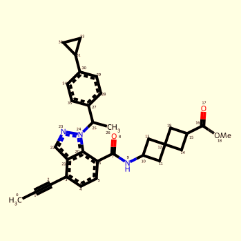 CC#Cc1ccc(C(=O)NC2CC3(C2)CC(C(=O)OC)C3)c2c1cnn2C(C)c1ccc(C2CC2)cc1